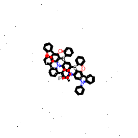 CC(C)C(C)N1c2cc3c(cc2B2c4ccccc4Oc4c2c1cc1c4c2ccccc2n1-c1ccccc1)B1c2ccccc2Oc2c1c(cc1oc4ccccc4c21)N3c1c(-c2ccccc2)cccc1-c1ccccc1